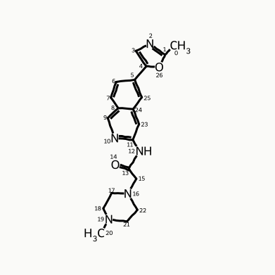 Cc1ncc(-c2ccc3cnc(NC(=O)CN4CCN(C)CC4)cc3c2)o1